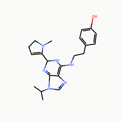 CC(C)n1cnc2c1=NC(C1=CCCN1C)NC=2NCCc1ccc(O)cc1